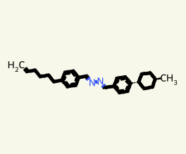 C=CCCCCc1ccc(C=NN=Cc2ccc([C@H]3CC[C@H](C)CC3)cc2)cc1